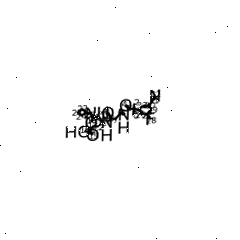 CC(C)(C(=O)NCCC(=O)N[C@@H](CCC(=O)O)CC(=O)NC1CCC1)c1cc(F)cc(C#N)c1